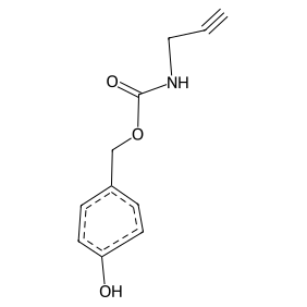 C#CCNC(=O)OCc1ccc(O)cc1